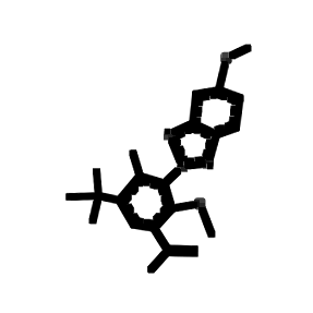 C=C(C)c1cc(C(C)(C)C)c(C)c(-n2nc3ccc(OC)cc3n2)c1OC